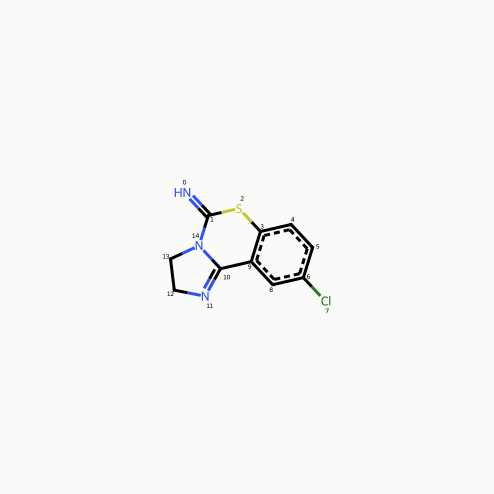 N=C1Sc2ccc(Cl)cc2C2=NCCN12